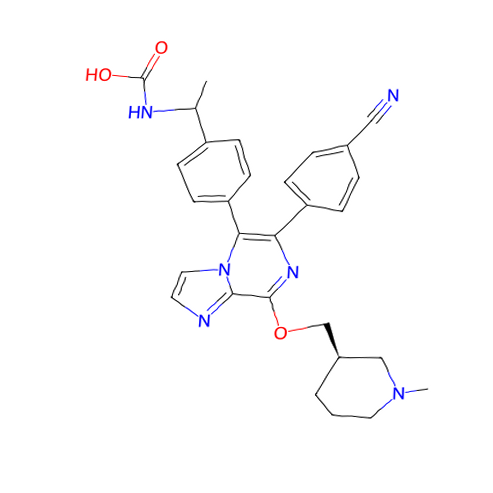 CC(NC(=O)O)c1ccc(-c2c(-c3ccc(C#N)cc3)nc(OC[C@@H]3CCCN(C)C3)c3nccn23)cc1